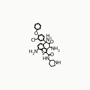 Nc1ccc2c3c(c(C(=O)NC4CCCNC4)sc13)C(N)C(=O)C2(N)c1ccc(Oc2ccccc2)c(Cl)c1